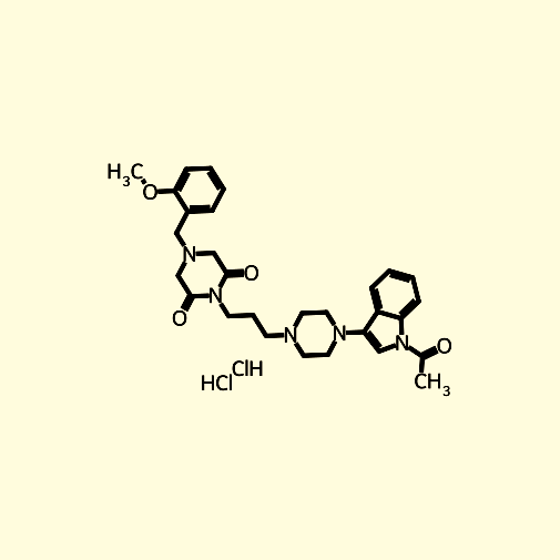 COc1ccccc1CN1CC(=O)N(CCCN2CCN(c3cn(C(C)=O)c4ccccc34)CC2)C(=O)C1.Cl.Cl